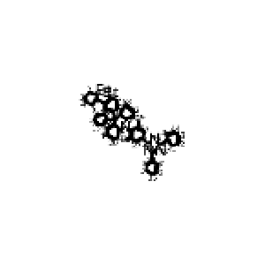 CCc1ccccc1-c1cc(C2(c3ccccc3)c3ccccc3N(c3c(C)cc(-c4nc(-c5ccccc5)nc(-c5ccccc5)n4)cc3C)c3ccccc32)ccc1CC